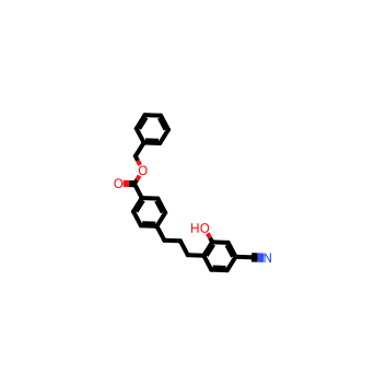 N#Cc1ccc(CCCc2ccc(C(=O)OCc3ccccc3)cc2)c(O)c1